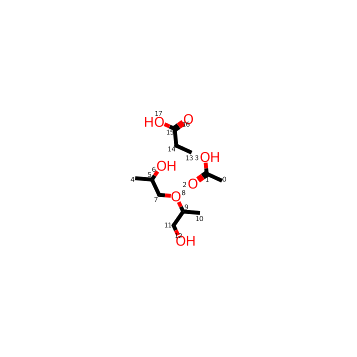 CC(=O)O.CC(O)COC(C)CO.CCC(=O)O